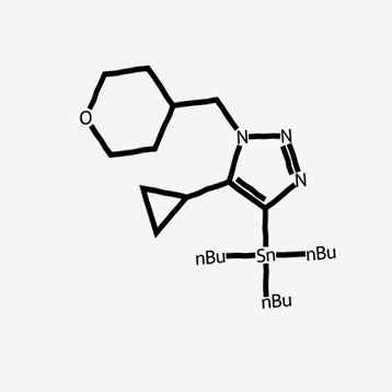 CCC[CH2][Sn]([CH2]CCC)([CH2]CCC)[c]1nnn(CC2CCOCC2)c1C1CC1